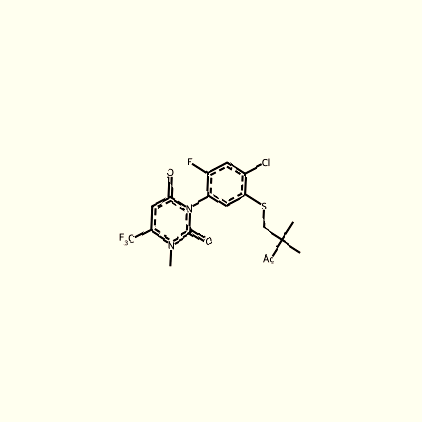 CC(=O)C(C)(C)CSc1cc(-n2c(=O)cc(C(F)(F)F)n(C)c2=O)c(F)cc1Cl